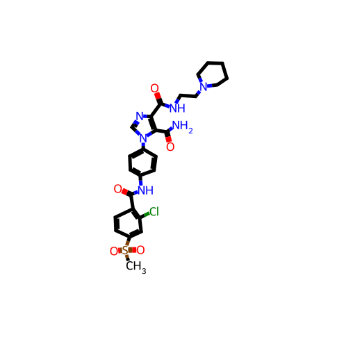 CS(=O)(=O)c1ccc(C(=O)Nc2ccc(-n3cnc(C(=O)NCCN4CCCCC4)c3C(N)=O)cc2)c(Cl)c1